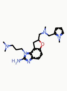 CN(C)CCCn1c(N)nc2ccc3c(c21)CC(CN(C)Cc1cccn1C)O3